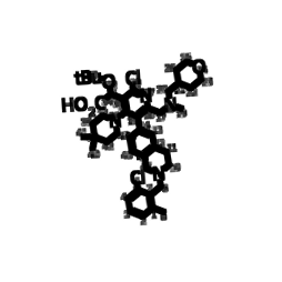 Cc1cccc(Cl)c1CN1CCc2cc(-c3c(CN(C)CC4CCOCC4)nc(Cl)c(C(OC(C)(C)C)C(=O)O)c3N3CCC(C)(C)CC3)ccc2C1